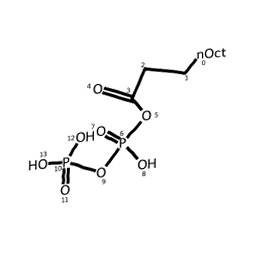 CCCCCCCCCCC(=O)OP(=O)(O)OP(=O)(O)O